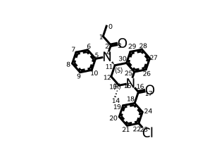 CCC(=O)N(c1ccccc1)[C@H]1C[C@@H](C)N(C(=O)c2cccc(Cl)c2)c2ccccc21